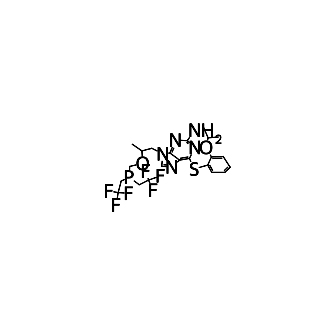 CC(C)Oc1ccccc1Sc1nc(N)nc2c1ncn2CC(C)OCP(CC(F)(F)F)CC(F)(F)F